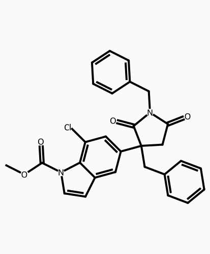 COC(=O)n1ccc2cc(C3(Cc4ccccc4)CC(=O)N(Cc4ccccc4)C3=O)cc(Cl)c21